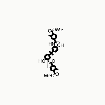 COC(=O)c1ccc(C(=O)Nc2cc(C(C)(C)c3ccc(O)c(NC(=O)c4ccc(C(=O)OC)c(C)c4)c3)ccc2O)cc1C